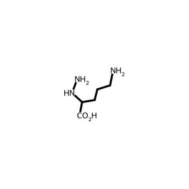 NCCCC(NN)C(=O)O